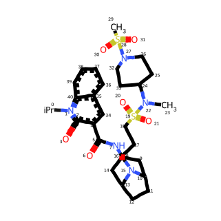 CC(C)n1c(=O)c(C(=O)NC2CC3CCC(C2)N3CCCS(=O)(=O)N(C)C2CCN(S(C)(=O)=O)CC2)cc2ccccc21